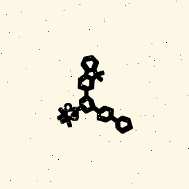 CC1(C)c2ccccc2-c2ccc(-c3cc(B4OC(C)(C)C(C)(C)O4)cc(-c4ccc(-c5ccccc5)cc4)c3)cc21